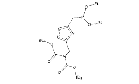 CCOP(Cc1csc(CN(C(=O)OC(C)(C)C)C(=O)OC(C)(C)C)n1)OCC